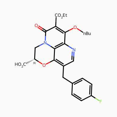 CCCCOc1c(C(=O)OCC)c(=O)n2c3c(c(Cc4ccc(F)cc4)cnc13)O[C@H](C(=O)O)C2